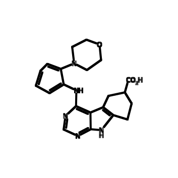 O=C(O)C1CCc2[nH]c3ncnc(Nc4ccccc4N4CCOCC4)c3c2C1